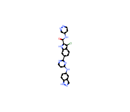 O=C(Nc1ccnnc1)c1[nH]c2cc(-c3nccc(Nc4ccc5[nH]ncc5c4)n3)ccc2c1Cl